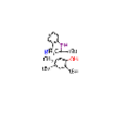 CCCCC(C)(Pc1ccccc1/C=N/C)c1cc(C(C)(C)C)cc(C(C)(C)C)c1O